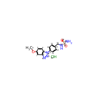 COc1ccc2c(c1)nnn2-c1ccc(CNS(N)(=O)=O)cc1.Cl